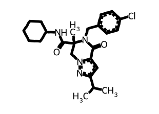 CC(C)c1cc2n(n1)CC(C)(C(=O)NC1CCCCC1)N(Cc1ccc(Cl)cc1)C2=O